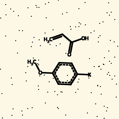 C=CC(=O)O.COc1cc[c]([K])cc1